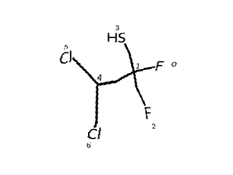 FC(F)(S)C(Cl)Cl